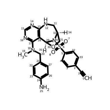 C#Cc1ccc(S(=O)(=O)N2[C@H]3CNc4ncnc(N(C)Cc5ccc(N)cc5)c4[C@@H]2OC3)cc1